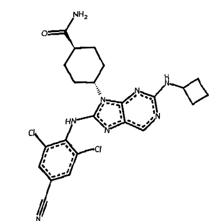 N#Cc1cc(Cl)c(Nc2nc3cnc(NC4CCC4)nc3n2[C@H]2CC[C@H](C(N)=O)CC2)c(Cl)c1